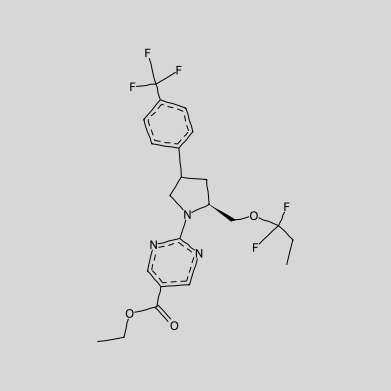 CCOC(=O)c1cnc(N2CC(c3ccc(C(F)(F)F)cc3)C[C@H]2COC(F)(F)CC)nc1